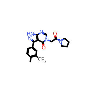 Cc1ccc(-c2n[nH]c3ncn(CC(=O)N4CCCC4)c(=O)c23)cc1C(F)(F)F